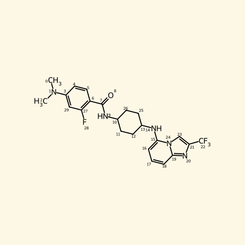 CN(C)c1ccc(C(=O)NC2CCC(Nc3cccc4nc(C(F)(F)F)cn34)CC2)c(F)c1